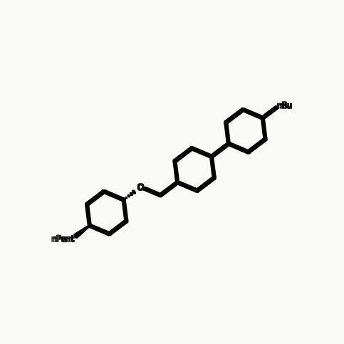 CCCCC[C@H]1CC[C@H](OCC2CCC(C3CCC(CCCC)CC3)CC2)CC1